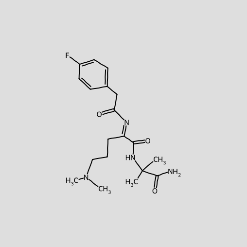 CN(C)CCC/C(=N\C(=O)Cc1ccc(F)cc1)C(=O)NC(C)(C)C(N)=O